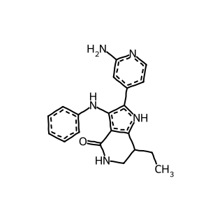 CCC1CNC(=O)c2c1[nH]c(-c1ccnc(N)c1)c2Nc1ccccc1